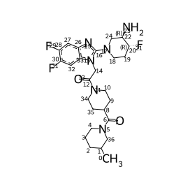 CC1CCCN(C(=O)C2CCN(C(=O)Cn3c(N4CC[C@@H](F)[C@H](N)C4)nc4cc(F)c(F)cc43)CC2)C1